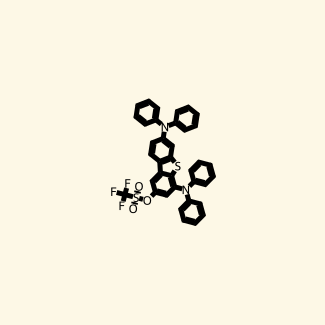 O=S(=O)(Oc1cc(N(c2ccccc2)c2ccccc2)c2sc3cc(N(c4ccccc4)c4ccccc4)ccc3c2c1)C(F)(F)F